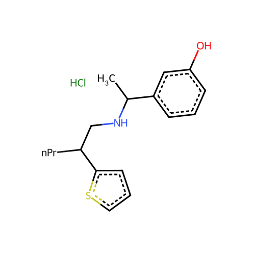 CCCC(CNC(C)c1cccc(O)c1)c1cccs1.Cl